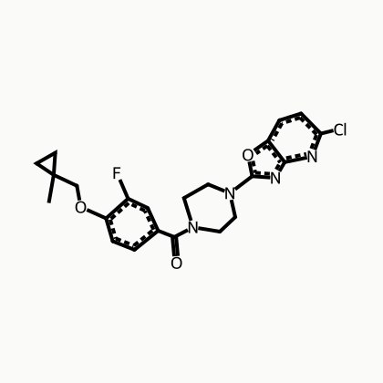 CC1(COc2ccc(C(=O)N3CCN(c4nc5nc(Cl)ccc5o4)CC3)cc2F)CC1